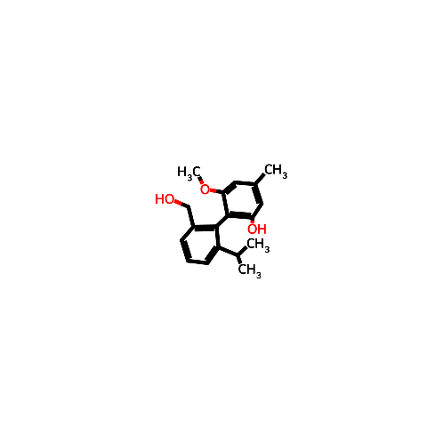 COc1cc(C)cc(O)c1-c1c(CO)cccc1C(C)C